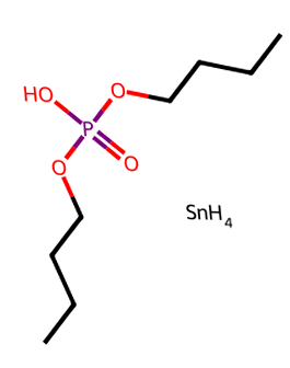 CCCCOP(=O)(O)OCCCC.[SnH4]